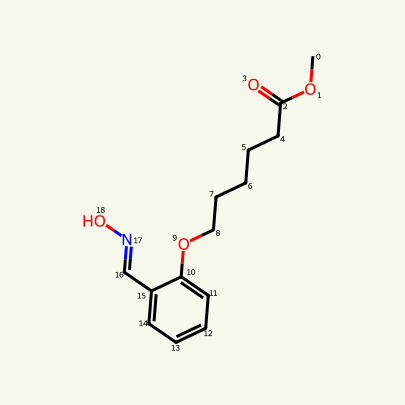 COC(=O)CCCCCOc1ccccc1C=NO